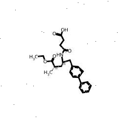 CCOC(=O)[C@@H](C)C[C@H](Cc1ccc(-c2ccccc2)cc1)NC(=O)CCC(=O)O